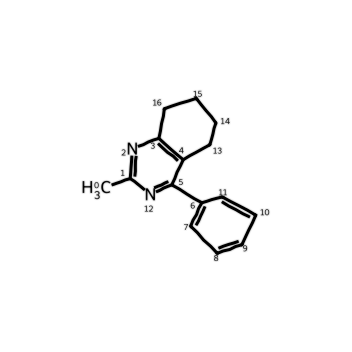 Cc1nc2c(c(-c3ccccc3)n1)CCCC2